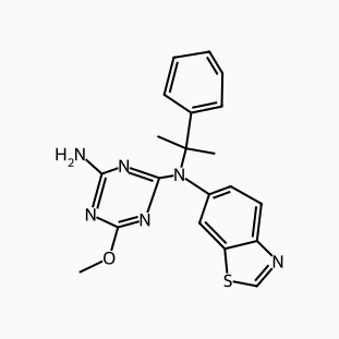 COc1nc(N)nc(N(c2ccc3ncsc3c2)C(C)(C)c2ccccc2)n1